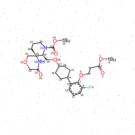 CC(C)(C)OC(=O)CCOc1c(F)cccc1C1CCC(OC[C@@H]2N(C(=O)OC(C)(C)C)CCC[C@@]23COCC(=O)N3)CC1